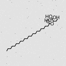 CCCCCCCCCCCCCCCCCCCCCC(=O)OC(CC)C(O)(O)O